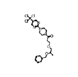 CC(COCCC(=O)N1CCN(c2ncc(C(Cl)(Cl)Cl)cn2)CC1)OCc1ccccc1